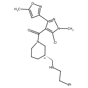 Cc1cc(-c2nn(C)c(Cl)c2C(=O)N2CCC[C@@H](CNCCC(C)C)C2)no1